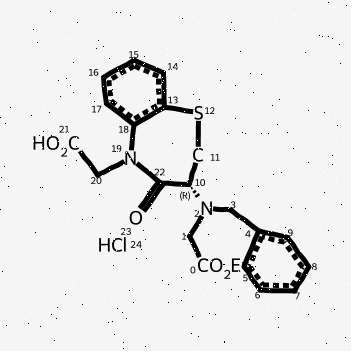 CCOC(=O)CN(Cc1ccccc1)[C@H]1CSc2ccccc2N(CC(=O)O)C1=O.Cl